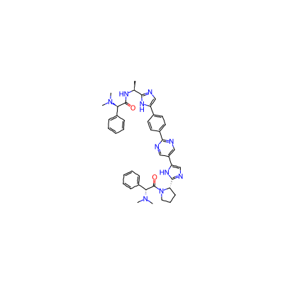 C[C@H](NC(=O)[C@@H](c1ccccc1)N(C)C)c1ncc(-c2ccc(-c3ncc(-c4cnc([C@@H]5CCCN5C(=O)[C@@H](c5ccccc5)N(C)C)[nH]4)cn3)cc2)[nH]1